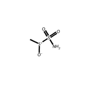 C[S+]([O-])S(N)(=O)=O